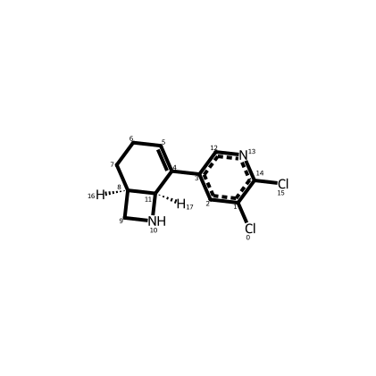 Clc1cc(C2=CCC[C@@H]3CN[C@H]23)cnc1Cl